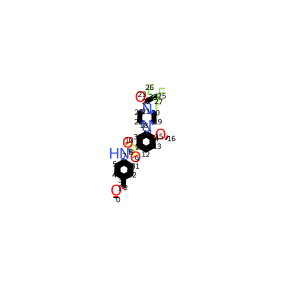 COCc1ccc(NS(=O)(=O)c2ccc(OC)c(N3CCN(C(=O)C(F)(F)F)CC3)c2)cc1